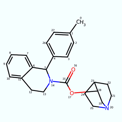 Cc1ccc(C2c3ccccc3CCN2C(=O)OC2CN3CCC2CC3)cc1